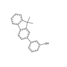 CC1(C)c2ccccc2-c2ccc(-c3cccc(O)c3)cc21